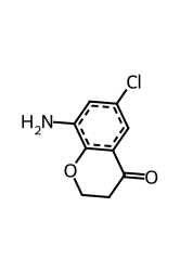 Nc1cc(Cl)cc2c1OCCC2=O